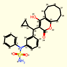 NS(=O)(=O)N(c1ccccc1)c1cccc(C(c2c(O)c3c(oc2=O)CCCCCC3)C2CC2)c1